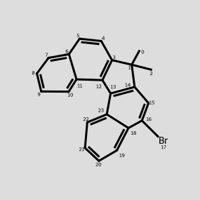 CC1(C)c2ccc3ccccc3c2-c2c1cc(Br)c1ccccc21